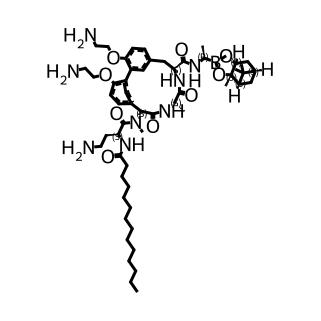 CCCCCCCCCCCCCC(=O)N[C@@H](CCN)C(=O)N(C)[C@@H]1C(=O)N[C@@H](C)C(=O)N[C@H](C(=O)N[C@@H](C)B2O[C@@H]3C[C@@H]4C[C@@H](C4(C)C)[C@]3(C)O2)Cc2ccc(OCCN)c(c2)-c2cc1ccc2OCCN